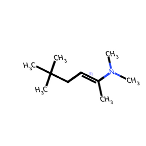 C/C(=C\CC(C)(C)C)N(C)C